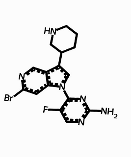 Nc1ncc(F)c(-n2cc(C3CCCNC3)c3cnc(Br)cc32)n1